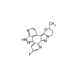 CC1CCn2nc(-c3ccc(F)cn3)c(-c3ccnc4[nH]ncc34)c2O1